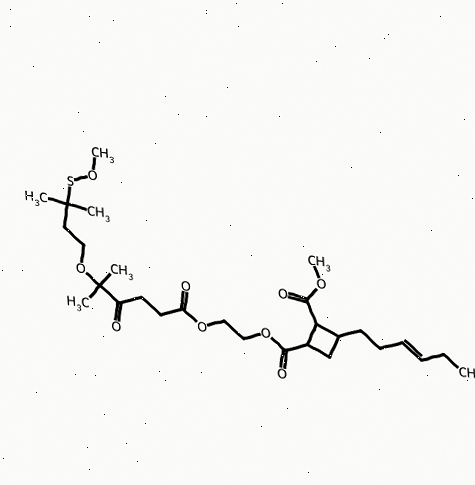 CC/C=C/CCC1CC(C(=O)OCCOC(=O)CCC(=O)C(C)(C)OCCC(C)(C)SOC)C1C(=O)OC